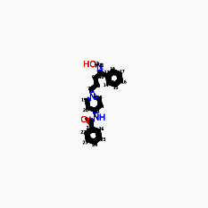 O=C(NC1CCN(CCC/C(=N\O)c2ccccc2)CC1)c1ccccc1